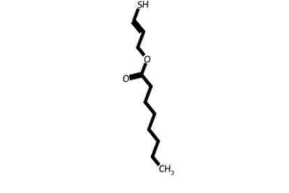 CCCCCCCC(=O)OCC=CS